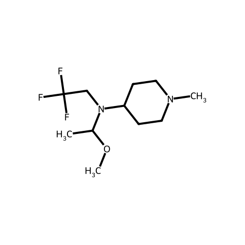 COC(C)N(CC(F)(F)F)C1CCN(C)CC1